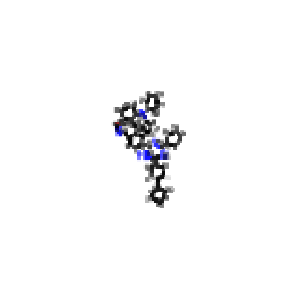 c1ccc(C2=NC(c3ccc4c(c3)C3(c5ccccc5N(c5ccccc5)c5ccccc53)c3cccnc3-4)NC(c3ccc(-c4ccccc4)cc3)=N2)cc1